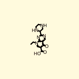 CCn1cc(C(=O)O)c(=O)c2cnc(C3CNCCN3)nc21